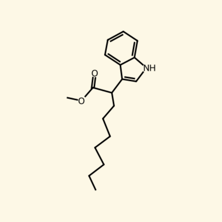 CCCCCCCC(C(=O)OC)c1c[nH]c2ccccc12